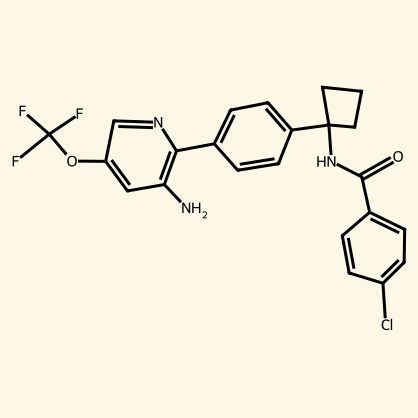 Nc1cc(OC(F)(F)F)cnc1-c1ccc(C2(NC(=O)c3ccc(Cl)cc3)CCC2)cc1